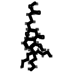 CCC[CH2][Sn]([CH2]CCC)([CH2]CCC)[c]1ccc2oc(CCCC(=O)OC)cc(=O)c2c1OC